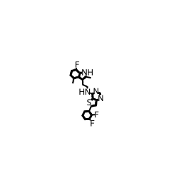 Cc1[nH]c2c(F)ccc(C)c2c1CCNc1ncnc2cc(-c3cccc(F)c3F)sc12